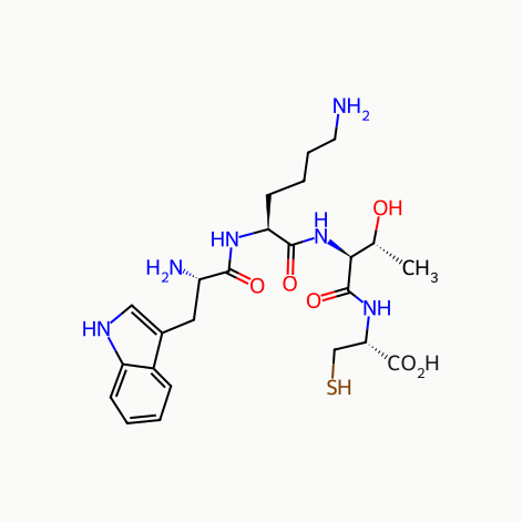 C[C@@H](O)[C@H](NC(=O)[C@H](CCCCN)NC(=O)[C@@H](N)Cc1c[nH]c2ccccc12)C(=O)N[C@@H](CS)C(=O)O